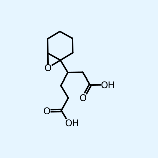 O=C(O)CCC(CC(=O)O)C12CCCCC1O2